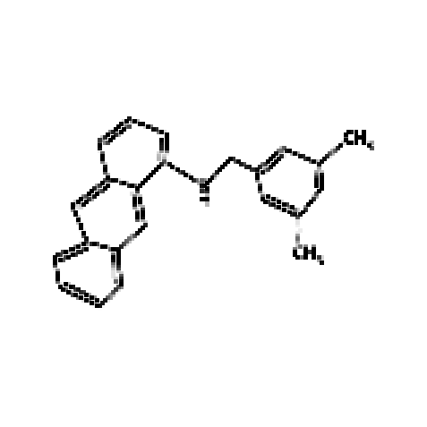 Cc1cc(C)cc(CBc2cccc3cc4ccccc4cc23)c1